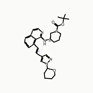 CC(C)(C)OC(=O)N1CCC[C@@H](Nc2nccc3cccc(/C=C/c4cnn(C5CCCCO5)c4)c23)C1